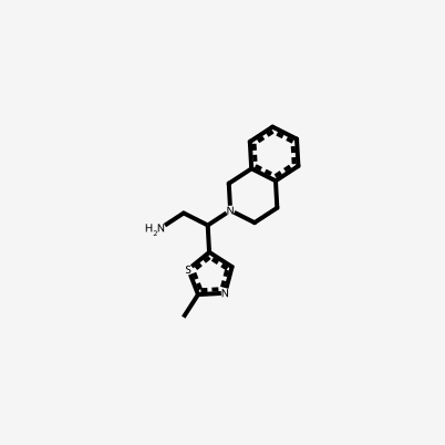 Cc1ncc(C(CN)N2CCc3ccccc3C2)s1